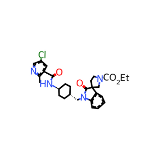 CCOC(=O)N1CCC2(C1)C(=O)N(C[C@H]1CC[C@H](NC(=O)c3cc(Cl)cnc3C)CC1)c1ccccc12